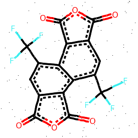 O=c1oc(=O)c2c1cc(C(F)(F)F)c1c2c(C(F)(F)F)cc2c(=O)oc(=O)c21